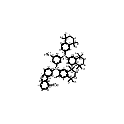 Cc1cc2c(cc1N(c1cc(N(c3ccc4c(c3)C(C)(C)CCC4(C)C)c3ccc4c(c3)C(C)(C)CCC4(C)C)cc(C(C)(C)C)c1)c1ccc3sc4cccc(C(C)(C)C)c4c3c1)C(C)(C)CCC2(C)C